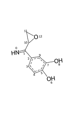 N=C(c1ccc(O)c(O)c1)C1CO1